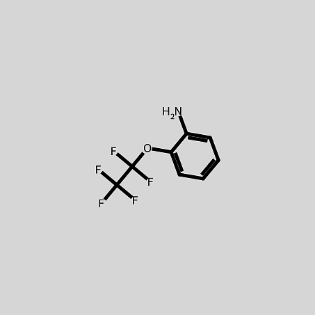 Nc1ccccc1OC(F)(F)C(F)(F)F